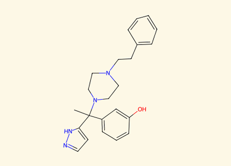 CC(c1cccc(O)c1)(c1ccn[nH]1)N1CCN(CCc2ccccc2)CC1